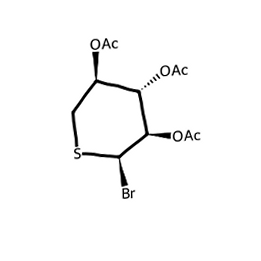 CC(=O)O[C@@H]1[C@@H](OC(C)=O)[C@@H](Br)SC[C@H]1OC(C)=O